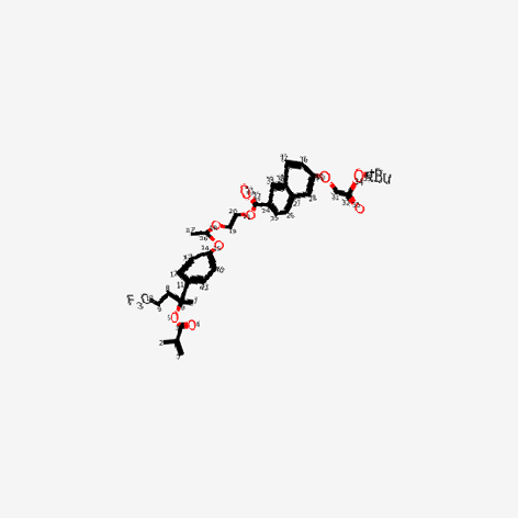 C=C(C)C(=O)OC(C)(CCC(F)(F)F)c1ccc(OC(C)OCCOC(=O)c2ccc3cc(OCC(=O)OC(C)(C)C)ccc3c2)cc1